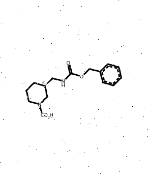 O=C(NC[C@@H]1CCCN(C(=O)O)C1)OCc1ccccc1